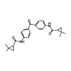 CC1(C)CC1C(=O)Nc1ccc(C(=O)c2ccc(NC(=O)C3CC3(C)C)cc2)cc1